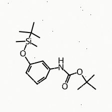 CC(C)(C)OC(=O)Nc1cccc(O[Si](C)(C)C(C)(C)C)c1